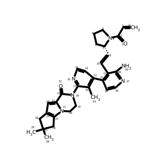 C=CC(=O)N1CCC[C@H]1/C=C/c1c(-c2ccnc(N3CCn4c(cc5c4CC(C)(C)C5)C3=O)c2C)ccnc1N